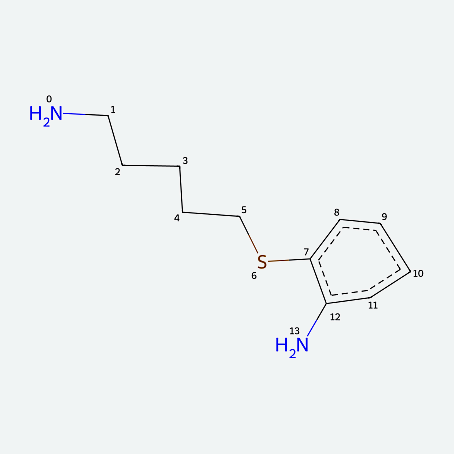 NCCCCCSc1ccccc1N